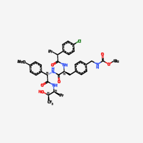 COc1ccc([C@H](NC(=O)[C@H](Cc2ccc(CNC(=O)OC(C)(C)C)cc2)NC(=O)C(c2ccc(Cl)cc2)C(C)C)C(=O)N[C@@H](C(C)C)[C@H](O)C(F)(F)F)cc1